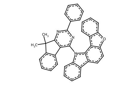 CC1(C)c2ccccc2-c2c(-n3c4ccccc4c4ccc5oc6ccccc6c5c43)nc(-c3ccccc3)nc21